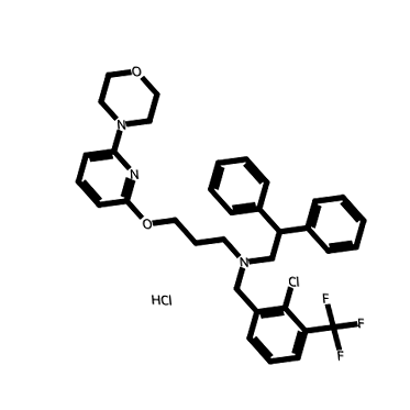 Cl.FC(F)(F)c1cccc(CN(CCCOc2cccc(N3CCOCC3)n2)CC(c2ccccc2)c2ccccc2)c1Cl